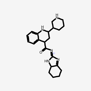 O=C(/N=C1/N=C2CCCCC2N1)C1CC(C2CCCNC2)Nc2ccccc21